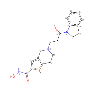 O=C(NO)c1cc2c(s1)CCN(CCC(=O)N1CCc3ccccc31)C2